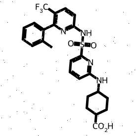 Cc1ccccc1-c1nc(NS(=O)(=O)c2cccc(NC3CCC(C(=O)O)CC3)n2)ccc1C(F)(F)F